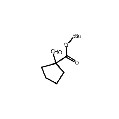 CC(C)(C)OC(=O)C1(C=O)CCCC1